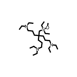 CCN(CC)CCCC(CCCN(CC)CC)(CCCN(CC)CC)C[Si](CC)(CC)OC